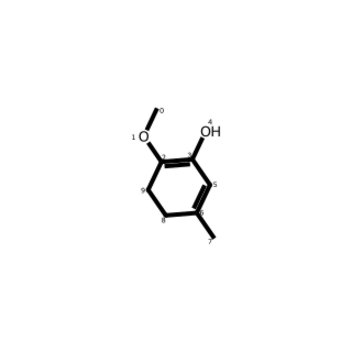 COC1=C(O)C=C(C)CC1